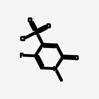 Cn1cc(F)c(S(=O)(=O)Cl)cc1=O